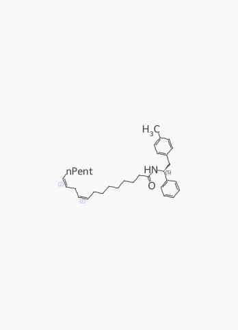 CCCCC/C=C\C/C=C\CCCCCCCC(=O)N[C@@H](Cc1ccc(C)cc1)c1ccccc1